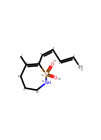 CC/C=C/C=C\C1=C(C)CCCNS1(=O)=O